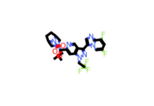 CC(C)(C)OC(=O)N1C2CCC1CN(C(=O)c1cc3c(cn1)c(-c1cnc4c(F)cc(F)cn14)nn3CC(F)(F)F)C2